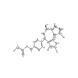 COC(=O)COc1ccc(C2=N[C@@H](C)c3nnc(C)n3-c3sc(C)c(C)c32)cc1